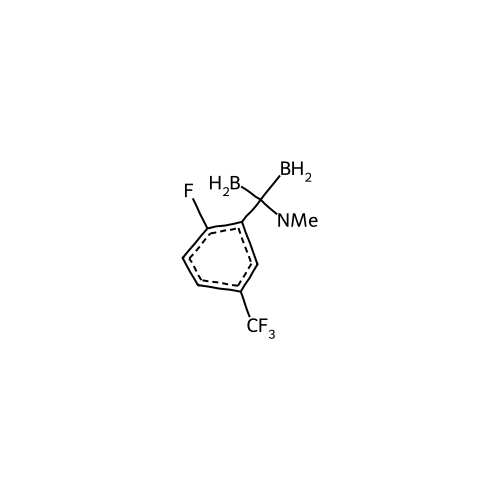 BC(B)(NC)c1cc(C(F)(F)F)ccc1F